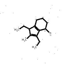 CCC1=C(C)C(CC)C2=C1[CH]([Ti])CCC2